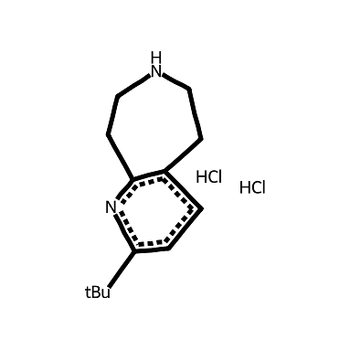 CC(C)(C)c1ccc2c(n1)CCNCC2.Cl.Cl